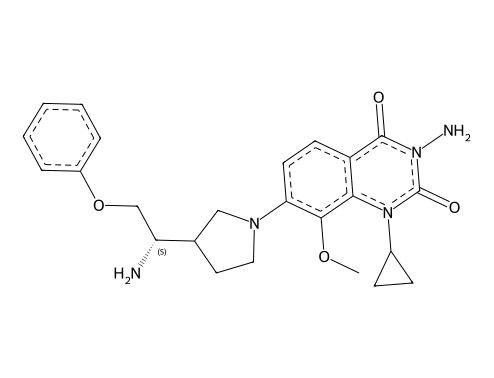 COc1c(N2CCC([C@H](N)COc3ccccc3)C2)ccc2c(=O)n(N)c(=O)n(C3CC3)c12